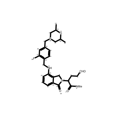 CNC(=O)C(CCC=O)N1Cc2c(NCc3ccc(CN4CC(C)OC(C)C4)cc3F)cccc2C1=O